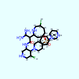 NC(N)C(C(=O)NC1CNCC(F)C1N1CCC(S(=O)(=O)N2CCN3CCC2CC3)CC1)C1CC2(CCCCC2)CCC(F)CN1